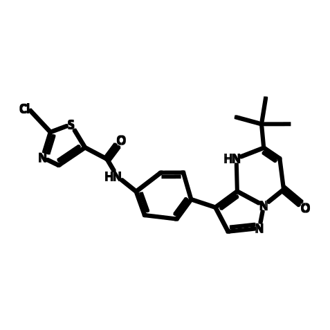 CC(C)(C)c1cc(=O)n2ncc(-c3ccc(NC(=O)c4cnc(Cl)s4)cc3)c2[nH]1